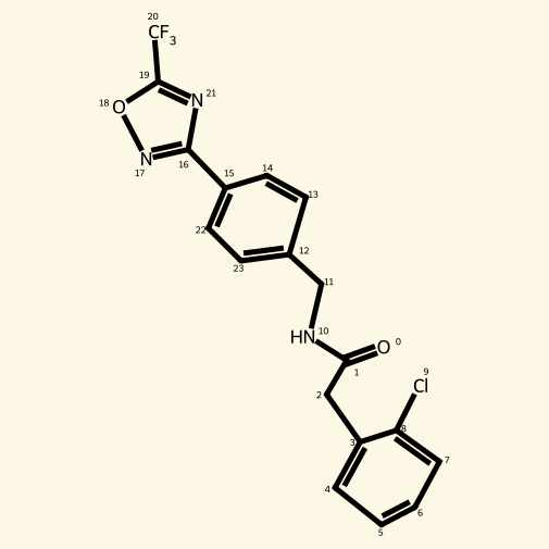 O=C(Cc1ccccc1Cl)NCc1ccc(-c2noc(C(F)(F)F)n2)cc1